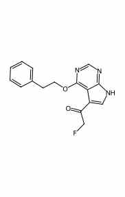 O=C(CF)c1c[nH]c2ncnc(OCCc3ccccc3)c12